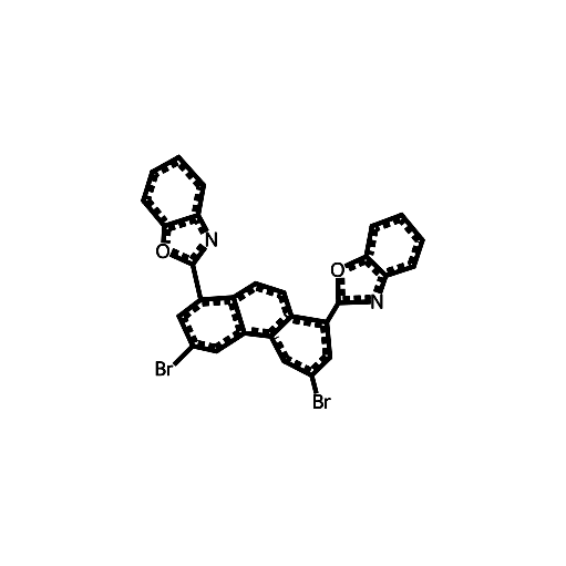 Brc1cc(-c2nc3ccccc3o2)c2ccc3c(-c4nc5ccccc5o4)cc(Br)cc3c2c1